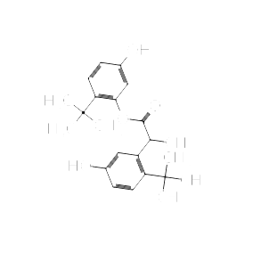 CC(C(=O)Oc1cc(O)ccc1C(C)(C)C)c1cc(O)ccc1C(C)(C)C